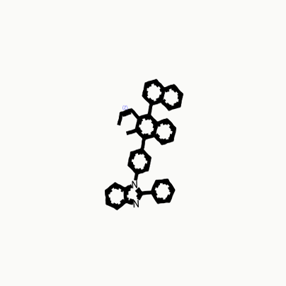 C/C=C\c1c(C)c(-c2ccc(-n3c(-c4ccccc4)nc4ccccc43)cc2)c2ccccc2c1-c1cccc2ccccc12